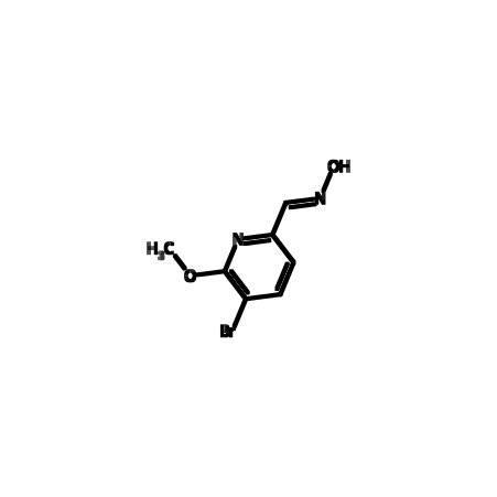 COc1nc(C=NO)ccc1Br